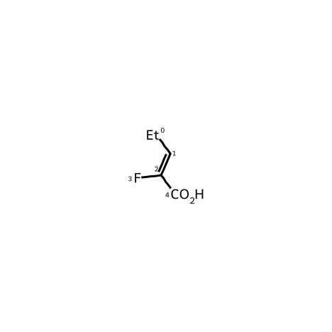 CC/C=C(\F)C(=O)O